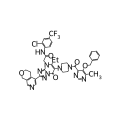 CCc1c(N2CCN(C(=O)c3ncnc(C)c3OCc3ccccc3)CC2)c(=O)n2nc(-c3cncc4c3CCOC4)nc2n1CC(=O)Nc1ccc(C(F)(F)F)cc1Cl